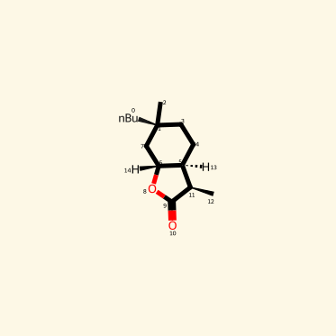 CCCC[C@@]1(C)CC[C@@H]2[C@@H](C1)OC(=O)[C@@H]2C